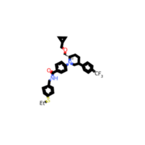 CCSc1ccc(CNC(=O)c2ccc(N3CC(c4ccc(C(F)(F)F)cc4)CC[C@H]3COCC3CC3)cc2)cc1